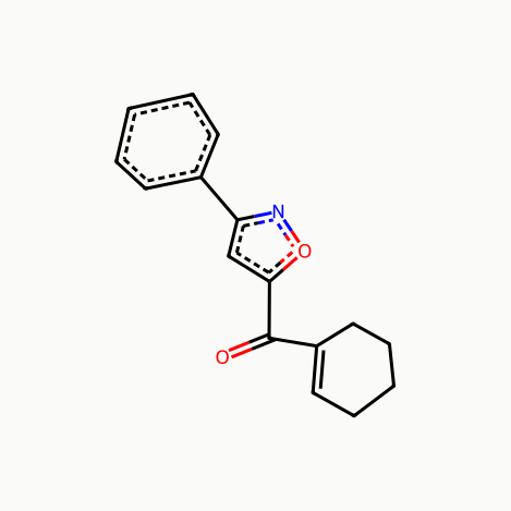 O=C(C1=CCCCC1)c1cc(-c2ccccc2)no1